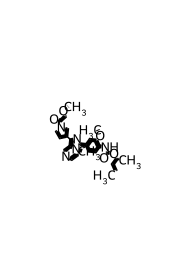 CCC[C@H](C)OC(=O)Nc1ccc(C2=NC([C@H]3CCN(C(=O)COC)C3)=C3C=NC=C[N+]23C)cc1OC